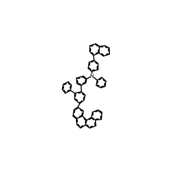 c1ccc(-c2cc(-c3ccc4ccc5ccc6ccccc6c5c4c3)ccc2-c2cccc(N(c3ccccc3)c3ccc(-c4cccc5ccccc45)cc3)c2)cc1